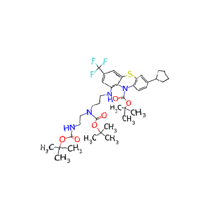 CC(C)(C)OC(=O)NCCN(CCCNc1cc(C(F)(F)F)cc2c1N(C(=O)OC(C)(C)C)c1ccc(C3CCCC3)cc1S2)C(=O)OC(C)(C)C